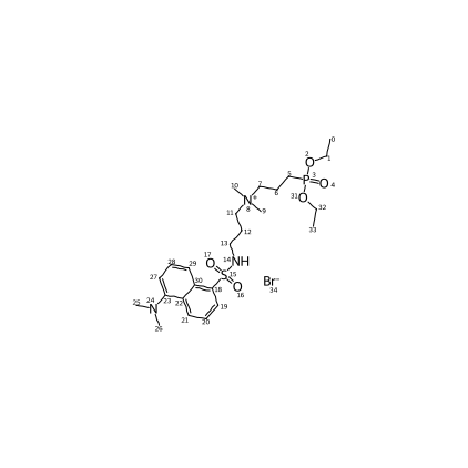 CCOP(=O)(CCC[N+](C)(C)CCCNS(=O)(=O)c1cccc2c(N(C)C)cccc12)OCC.[Br-]